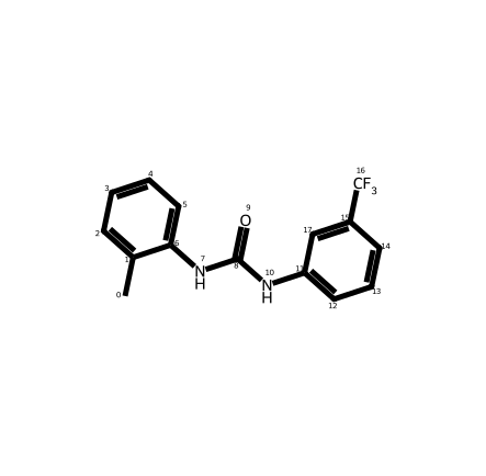 Cc1ccccc1NC(=O)Nc1cccc(C(F)(F)F)c1